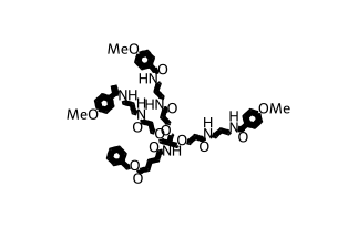 C=C(NCCCNC(=O)CCOCC(COCCC(=O)NCCCNC(=O)c1ccc(OC)cc1)(COCCC(=O)NCCCNC(=O)c1ccc(OC)cc1)NC(=O)CCCC(=O)OCc1ccccc1)c1ccc(OC)cc1